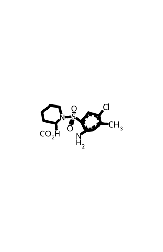 Cc1cc(N)c(S(=O)(=O)N2CCCCC2C(=O)O)cc1Cl